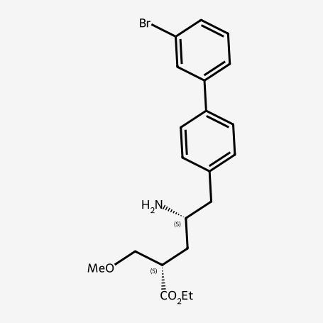 CCOC(=O)[C@H](COC)C[C@H](N)Cc1ccc(-c2cccc(Br)c2)cc1